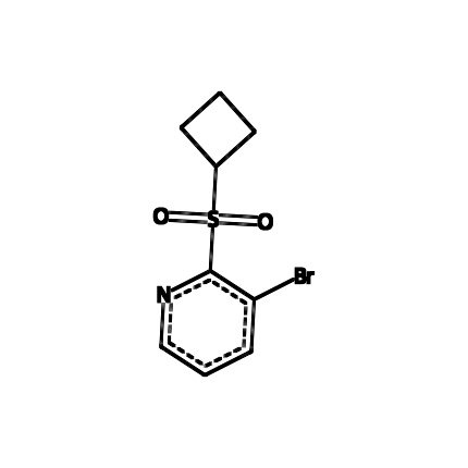 O=S(=O)(c1ncccc1Br)C1CCC1